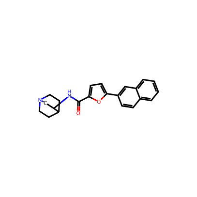 O=C(NC1CN2CCC1CC2)c1ccc(-c2ccc3ccccc3c2)o1